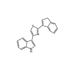 C1=C(c2nc(-c3c[nH]c4ccccc34)cs2)c2ccccc2C1